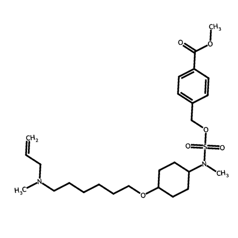 C=CCN(C)CCCCCCOC1CCC(N(C)S(=O)(=O)OCc2ccc(C(=O)OC)cc2)CC1